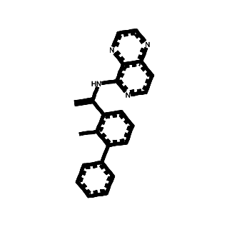 C=C(Nc1nccc2nccnc12)c1cccc(-c2ccccc2)c1C